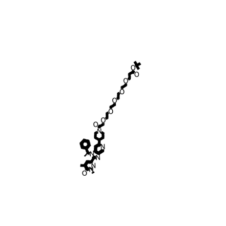 Cc1cc(-c2nc3cnc(C4CCN(C(=O)COCCOCCOCCOCCOCCC(=O)OC(C)(C)C)CC4)cc3n2[C@@H](C)c2ccccc2)nn(C)c1=O